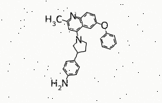 Cc1cc(N2CCC(c3ccc(N)cc3)C2)c2cc(Oc3ccccc3)ccc2n1